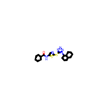 O=C(Nc1cnc(Sc2nnnn2-c2cccc3ccccc23)s1)c1ccccc1